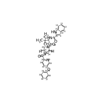 CC(C)(C)[C@H](NC(=O)c1cc2ccccc2[nH]1)C(=O)N1C[C@@H]2C[C@H]1CN2C(=O)c1ccc(Oc2ccccc2)cn1